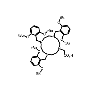 CC(C)(C)Oc1cccc(OC(C)(C)C)c1CN1CCN(CC(=O)O)CCN(Cc2c(OC(C)(C)C)cccc2OC(C)(C)C)CCN(Cc2c(OC(C)(C)C)cccc2OC(C)(C)C)CC1